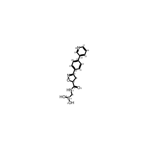 O=C(NCB(O)O)C1CC(c2ccc(-c3cccnc3)cc2)=NO1